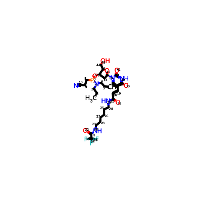 CCCN(CCC)P(CCC#N)O[C@@H]1C[C@H](n2cc(/C=C/C(=O)NCCCCCCNC(=O)C(F)(F)F)c(=O)[nH]c2=O)OC1CO